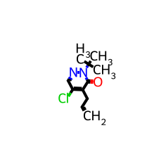 C=CCc1c(Cl)cnn(C(C)(C)C)c1=O